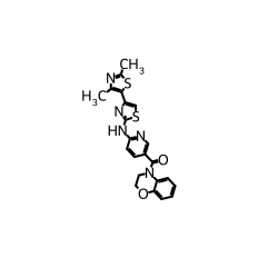 Cc1nc(C)c(-c2csc(Nc3ccc(C(=O)N4CCOc5ccccc54)cn3)n2)s1